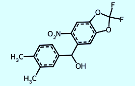 Cc1ccc(C(O)c2cc3c(cc2[N+](=O)[O-])OC(F)(F)O3)cc1C